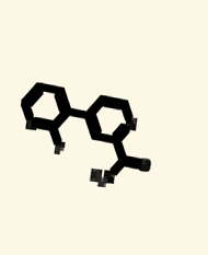 NC(=O)c1cc(-c2cccnc2F)ccn1